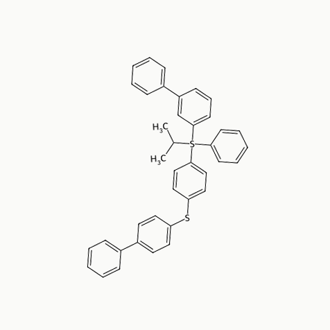 CC(C)S(c1ccccc1)(c1ccc(Sc2ccc(-c3ccccc3)cc2)cc1)c1cccc(-c2ccccc2)c1